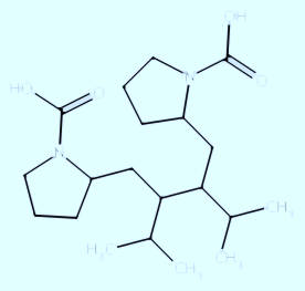 CC(C)C(CC1CCCN1C(=O)O)C(CC1CCCN1C(=O)O)C(C)C